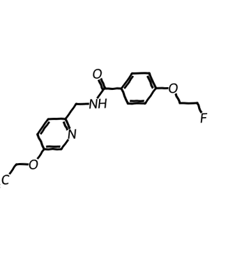 O=C(NCc1ccc(OCC(F)(F)F)cn1)c1ccc(OCCF)cc1